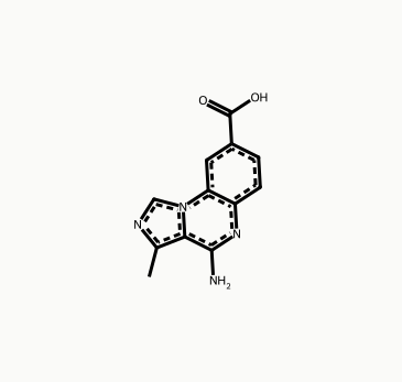 Cc1ncn2c1c(N)nc1ccc(C(=O)O)cc12